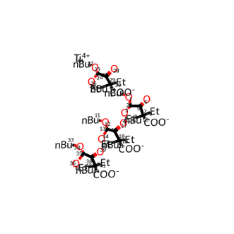 CCCCOC(OCCCC)C(=O)C(CC)(CC)C(=O)[O-].CCCCOC(OCCCC)C(=O)C(CC)(CC)C(=O)[O-].CCCCOC(OCCCC)C(=O)C(CC)(CC)C(=O)[O-].CCCCOC(OCCCC)C(=O)C(CC)(CC)C(=O)[O-].[Ti+4]